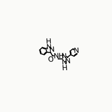 O=C(NCc1nc(-c2ccncc2)n[nH]1)c1n[nH]c2ccccc12